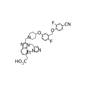 CCn1cncc1Cn1c(CN2CCC(Oc3ccc(F)c(COc4ccc(C#N)cc4F)c3)CC2)nc2ccc(CC(=O)O)cc21